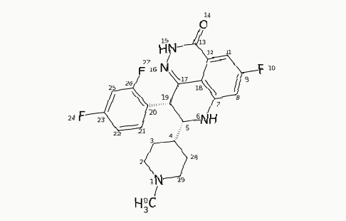 CN1CCC([C@H]2Nc3cc(F)cc4c(=O)[nH]nc(c34)[C@H]2c2ccc(F)cc2F)CC1